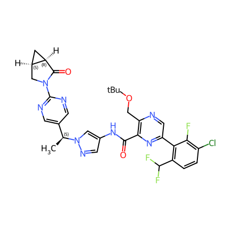 C[C@@H](c1cnc(N2C[C@H]3C[C@H]3C2=O)nc1)n1cc(NC(=O)c2nc(-c3c(C(F)F)ccc(Cl)c3F)cnc2COC(C)(C)C)cn1